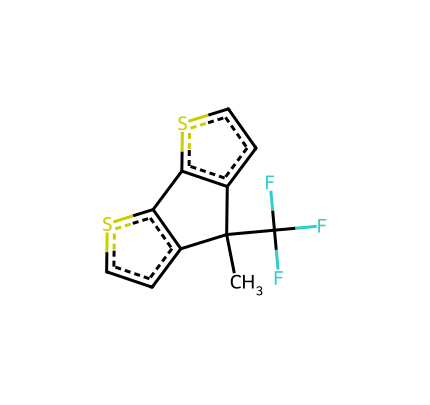 CC1(C(F)(F)F)c2ccsc2-c2sccc21